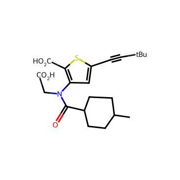 CC1CCC(C(=O)N(CC(=O)O)c2cc(C#CC(C)(C)C)sc2C(=O)O)CC1